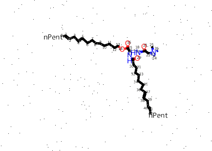 CCCCCC=CCC=CCCCCCCCCOC(=O)[C@H](CNC(=O)C[N+](C)(C)C)NC(=O)CCCCCCCC=CCC=CCCCCC